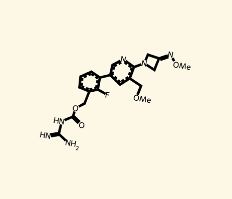 COCc1cc(-c2cccc(COC(=O)NC(=N)N)c2F)cnc1N1CC(=NOC)C1